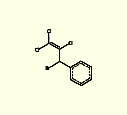 ClC(Cl)=C(Cl)C(Br)c1ccccc1